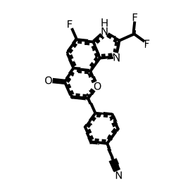 N#Cc1ccc(-c2cc(=O)c3cc(F)c4[nH]c(C(F)F)nc4c3o2)cc1